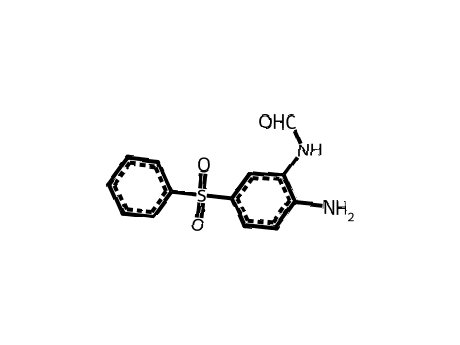 Nc1ccc(S(=O)(=O)c2ccccc2)cc1NC=O